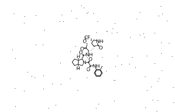 Cc1ccccc1NC(=O)C(=O)N1C[C@@H]2CCC[C@@H]2[C@H]1C(=O)N[C@@H](C[C@@H]1CCNC1=O)C(=O)COC(F)(F)F